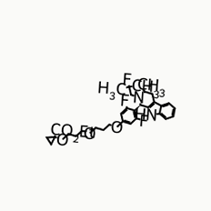 CCOC(=O)C1(OCCCOCCCOc2cc(F)c([C@@H]3c4[nH]c5ccccc5c4C[C@@H](C)N3CC(C)(C)F)c(F)c2)CC1